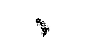 O=C(N/N=C/c1cc(C(F)(F)F)cc(C(F)(F)F)c1O)c1ccccc1